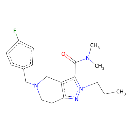 CCCn1nc2c(c1C(=O)N(C)C)CN(Cc1ccc(F)cc1)CC2